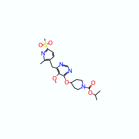 COc1c(Cc2ccc(S(C)(=O)=O)nc2C)ncnc1OC1CCN(C(=O)OC(C)C)CC1